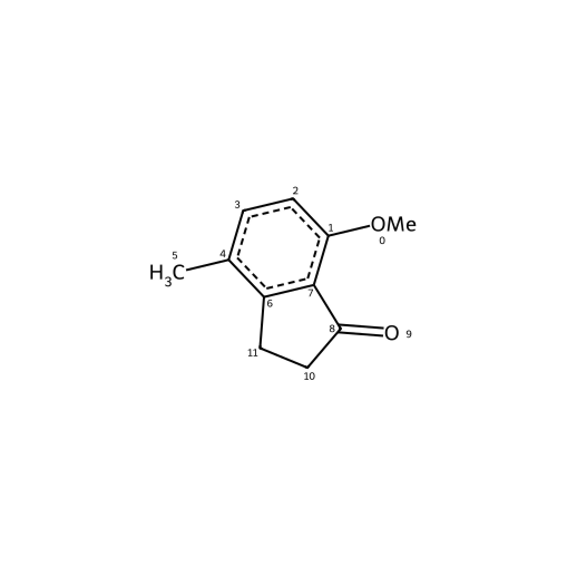 COc1ccc(C)c2c1C(=O)CC2